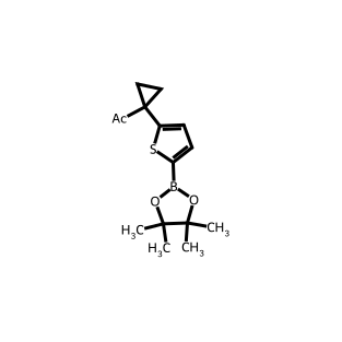 CC(=O)C1(c2ccc(B3OC(C)(C)C(C)(C)O3)s2)CC1